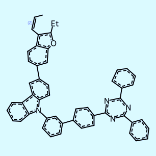 C/C=C\c1c(CC)oc2cc(-c3ccc4c(c3)c3ccccc3n4-c3cccc(-c4ccc(-c5nc(-c6ccccc6)nc(-c6ccccc6)n5)cc4)c3)ccc12